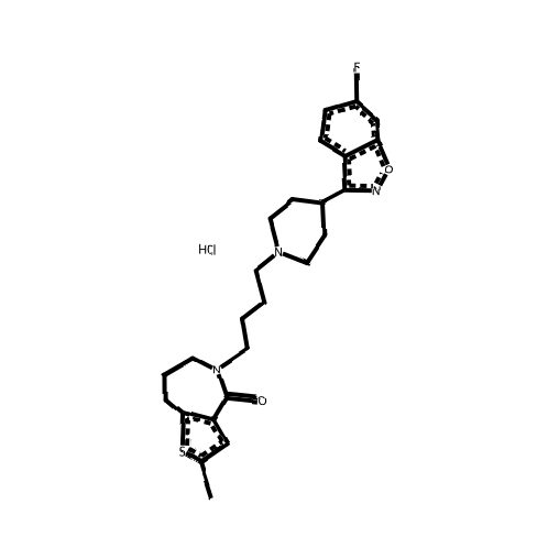 Cc1cc2c(s1)CCCN(CCCCN1CCC(c3noc4cc(F)ccc34)CC1)C2=O.Cl